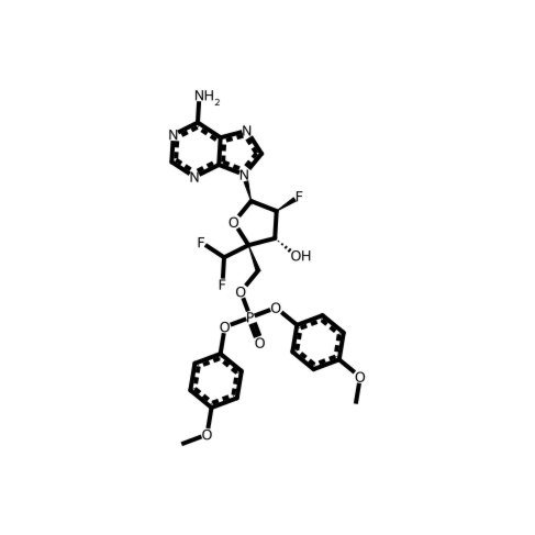 COc1ccc(OP(=O)(OC[C@@]2(C(F)F)O[C@@H](n3cnc4c(N)ncnc43)[C@@H](F)[C@@H]2O)Oc2ccc(OC)cc2)cc1